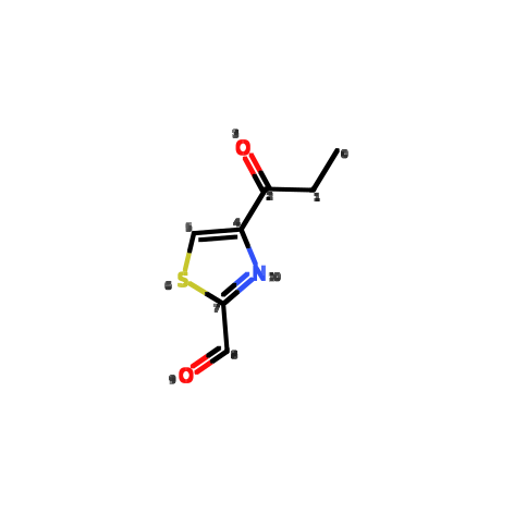 CCC(=O)c1csc(C=O)n1